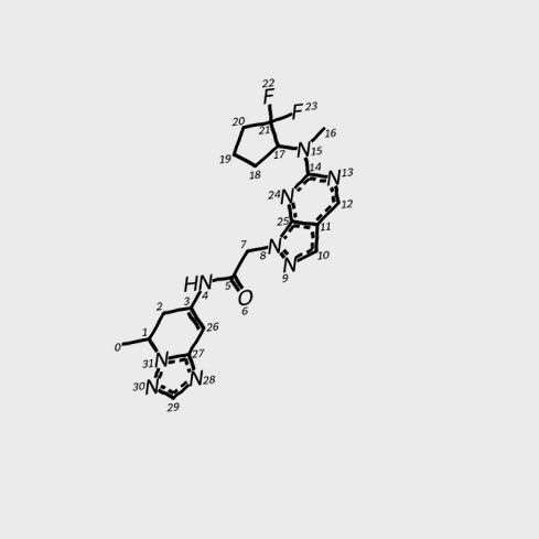 CC1CC(NC(=O)Cn2ncc3cnc(N(C)C4CCCC4(F)F)nc32)=Cc2ncnn21